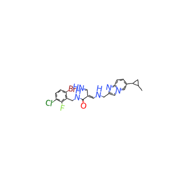 CC1CC1c1ccc2nc(CN/C=C(\C=N)C(=O)NCc3c(Br)ccc(Cl)c3F)cn2c1